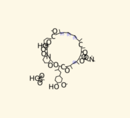 COC1CC2CCC(C)[C@](O)(O2)C(=O)C(=O)N2CCCCC2C(=O)OC(C(C)CC2CCC(O)C(OC)C2)CC(=O)C(C)/C=C(\C)C(OC(=O)CN(C)C)C(OC)C(=O)C(C)CC(C)/C=C/C=C/C=C\1C.CS(=O)(=O)O